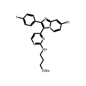 CCc1ccn2c(-c3ccnc(NCCCOC)n3)c(-c3ccc(F)cc3)nc2c1